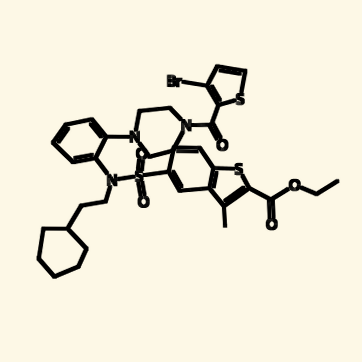 CCOC(=O)c1sc2ccc(S(=O)(=O)N(CCC3CCCCC3)c3ccccc3N3CCN(C(=O)c4sccc4Br)CC3)cc2c1C